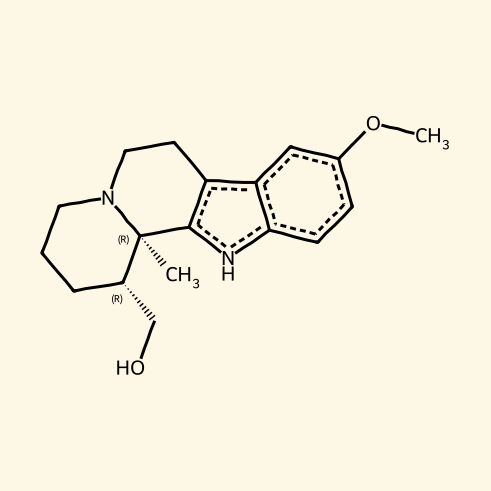 COc1ccc2[nH]c3c(c2c1)CCN1CCC[C@@H](CO)[C@]31C